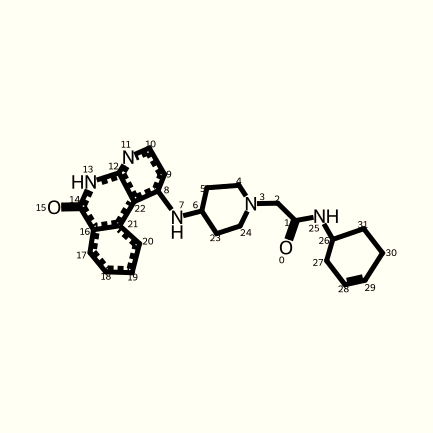 O=C(CN1CCC(Nc2ccnc3[nH]c(=O)c4ccccc4c23)CC1)NC1CC=CCC1